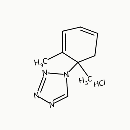 CC1=CC=CCC1(C)n1cnnn1.Cl